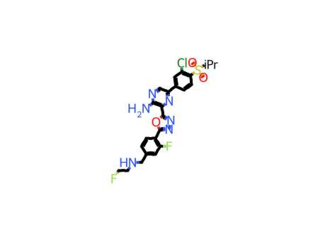 CC(C)S(=O)(=O)c1ccc(-c2cnc(N)c(-c3nnc(-c4ccc(CNCCF)cc4F)o3)n2)cc1Cl